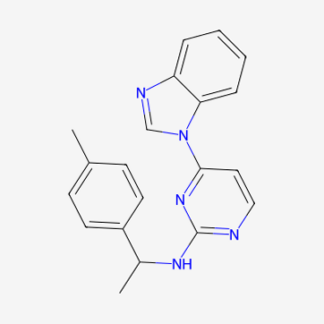 Cc1ccc(C(C)Nc2nccc(-n3cnc4ccccc43)n2)cc1